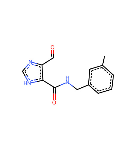 Cc1cccc(CNC(=O)c2[nH]cnc2C=O)c1